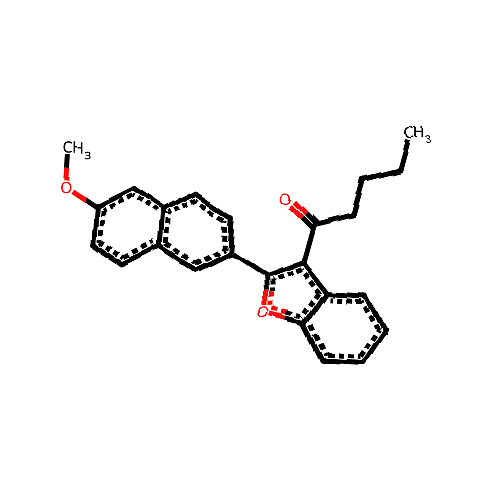 CCCCC(=O)c1c(-c2ccc3cc(OC)ccc3c2)oc2ccccc12